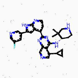 CC1(C)CNCC[C@@H]1Nc1nc(-c2ccnc3[nH]c(-c4cncc(F)c4)cc23)nc2cncc(C3CC3)c12